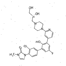 Cn1ccn(-c2ccc(-c3cc(F)cc(-c4ccnc(N5CCN(C[C@@H](O)CO)CC5)c4)c3O)cc2Cl)c1=O